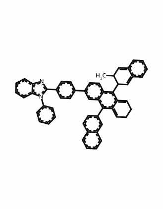 CC1C=c2ccccc2=CC1c1c2c(c(-c3ccc4ccccc4c3)c3cc(-c4ccc(-c5nc6ccccc6n5-c5ccccc5)cc4)ccc13)=CCCC=2